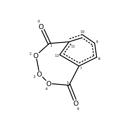 O=C1OOOC(=O)c2cccc1c2